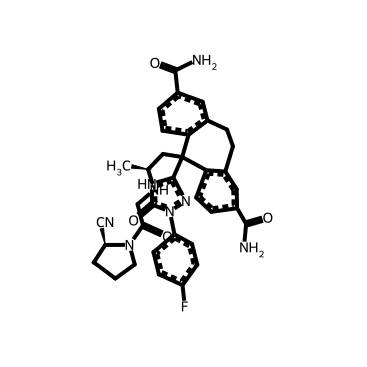 C[C@@H](CC1(c2nn(-c3ccc(F)cc3)c(=O)[nH]2)c2ccc(C(N)=O)cc2CCc2cc(C(N)=O)ccc21)NCC(=O)N1CCC[C@H]1C#N